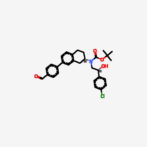 CC(C)(C)OC(=O)N(C[C@H](O)c1ccc(Cl)cc1)[C@H]1CCc2ccc(-c3ccc(C=O)cc3)cc2C1